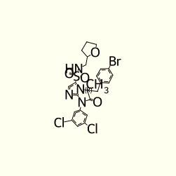 C[C@@]1(Cc2ccc(Br)cc2)C(=O)N(c2cc(Cl)cc(Cl)c2)c2ncc(S(=O)(=O)NCC3CCCO3)n21